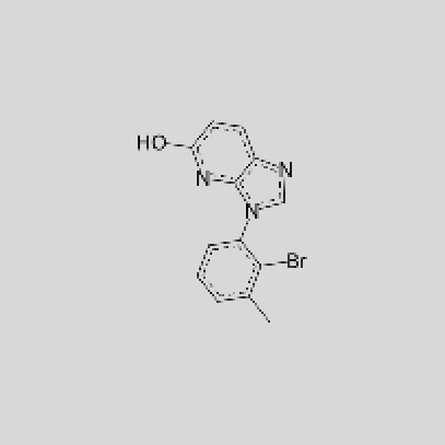 Cc1cccc(-n2cnc3ccc(O)nc32)c1Br